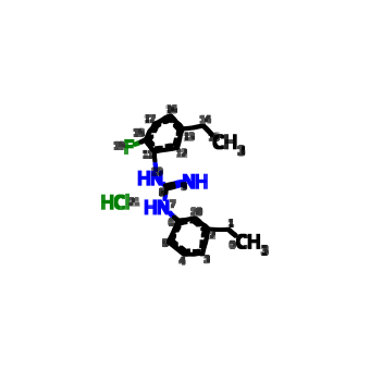 CCc1cccc(NC(=N)Nc2cc(CC)ccc2F)c1.Cl